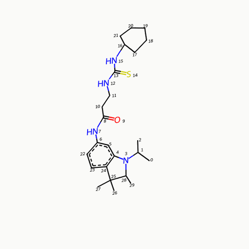 CC(C)N1c2cc(NC(=O)CCNC(=S)NC3CCCCC3)ccc2C(C)(C)C1C